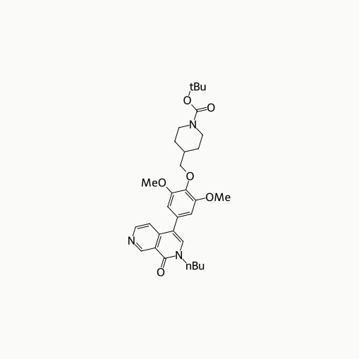 CCCCn1cc(-c2cc(OC)c(OCC3CCN(C(=O)OC(C)(C)C)CC3)c(OC)c2)c2ccncc2c1=O